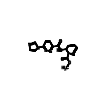 COC(=O)C1N=CC=CC1NC(=O)c1ccc(-n2ccnc2)nn1